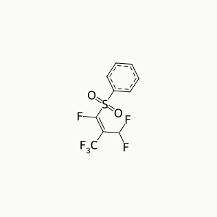 O=S(=O)(C(F)=C(C(F)F)C(F)(F)F)c1ccccc1